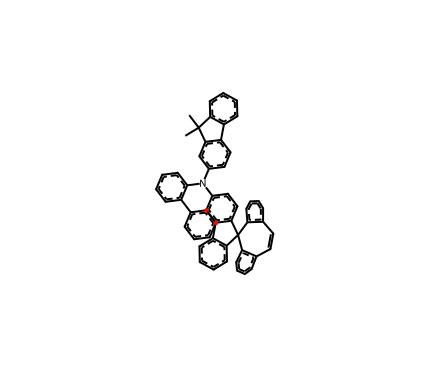 CC1(C)c2ccccc2-c2ccc(N(c3ccc4c(c3)-c3ccccc3C43c4ccccc4C=Cc4ccccc43)c3ccccc3-c3ccccc3)cc21